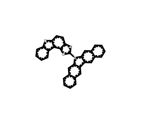 c1ccc2cc3c(cc2c1)c1cc2ccccc2cc1n3-c1nc2ccc3oc4ccccc4c3c2o1